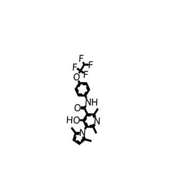 Cc1nc(C)c(-n2c(C)ccc2C)c(O)c1C(=O)Nc1ccc(OC(F)(F)C(F)F)cc1